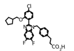 O=C(O)CCc1ccc(Cn2c(-c3ccc(Cl)cc3OCC3CCCC3)nc3cc(F)c(F)cc32)cc1